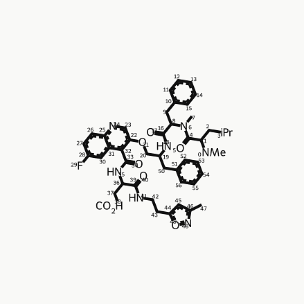 CNC(CC(C)C)C(=O)N(C)C(Cc1ccccc1)C(=O)NC(COc1cnc2ccc(F)cc2c1C(=O)NC(CC(=O)O)C(=O)NCCc1cc(C)no1)Cc1ccccc1